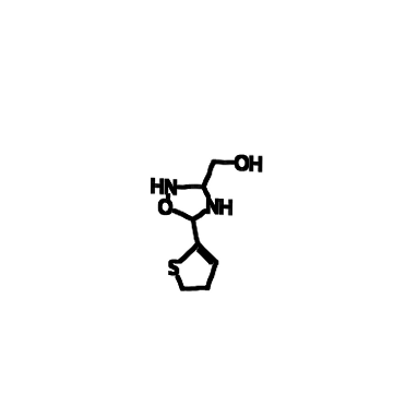 OCC1NOC(C2=CCCS2)N1